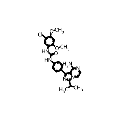 COc1cc(OC)c(NC(=O)Nc2ccc(-c3nc(C(C)C)n4ccnc(N)c34)cc2)cc1Cl